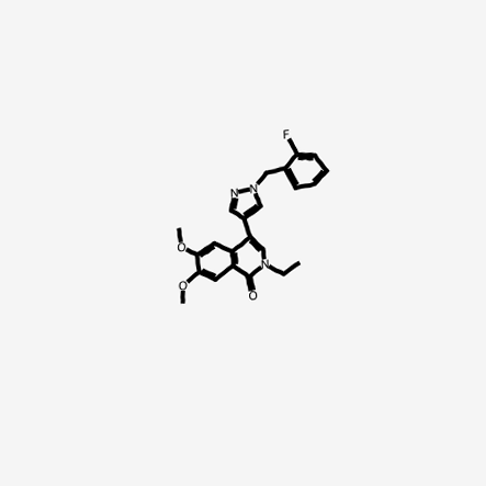 CCn1cc(-c2cnn(Cc3ccccc3F)c2)c2cc(OC)c(OC)cc2c1=O